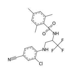 Cc1cc(C)c(S(=O)(=O)NC(CNc2ccc(C#N)cc2Cl)C(F)(F)F)c(C)c1